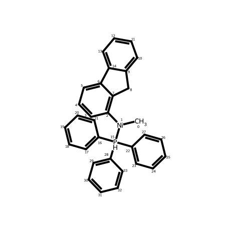 [CH3][Ni]([c]1cccc2c1Cc1ccccc1-2)[PH](c1ccccc1)(c1ccccc1)c1ccccc1